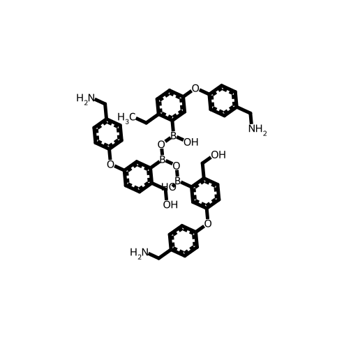 CCc1ccc(Oc2ccc(CN)cc2)cc1B(O)OB(OB(O)c1cc(Oc2ccc(CN)cc2)ccc1CO)c1cc(Oc2ccc(CN)cc2)ccc1CO